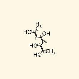 C\C(O)=C/C(O)=P\C(O)=C(/C)O